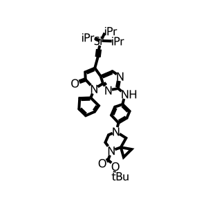 CC(C)[Si](C#Cc1cc(=O)n(-c2ccccc2)c2nc(Nc3ccc(N4CCN(C(=O)OC(C)(C)C)C5(CC5)C4)cc3)ncc12)(C(C)C)C(C)C